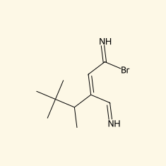 CC(/C(C=N)=C/C(=N)Br)C(C)(C)C